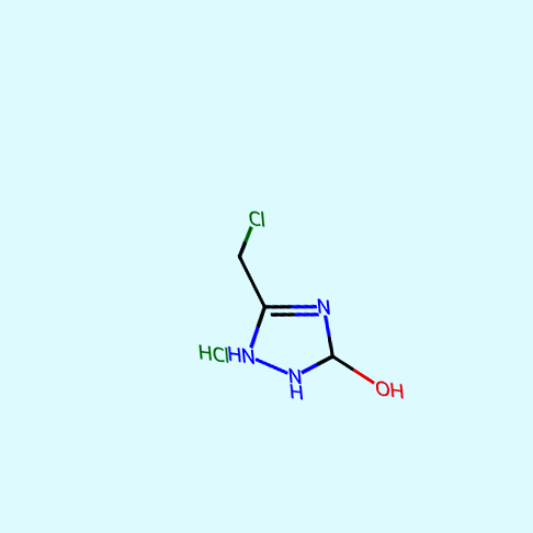 Cl.OC1N=C(CCl)NN1